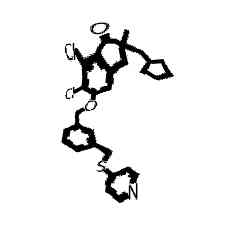 CC1(CC2CCCC2)Cc2cc(OCc3cccc(CSc4ccncc4)c3)c(Cl)c(Cl)c2C1=O